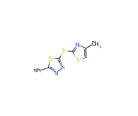 CCCc1nnc(Sc2nc(C)cs2)s1